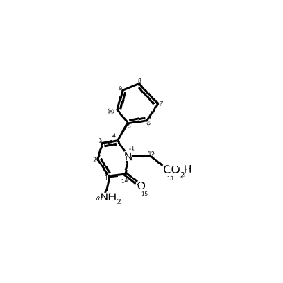 Nc1ccc(-c2ccccc2)n(CC(=O)O)c1=O